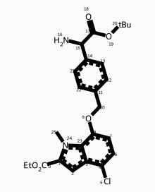 CCOC(=O)c1cc2c(Cl)ccc(OCc3ccc(C(N)C(=O)OC(C)(C)C)cc3)c2n1C